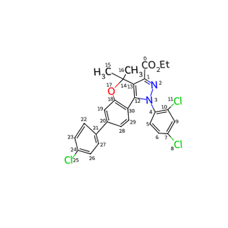 CCOC(=O)c1nn(-c2ccc(Cl)cc2Cl)c2c1C(C)(C)Oc1cc(-c3ccc(Cl)cc3)ccc1-2